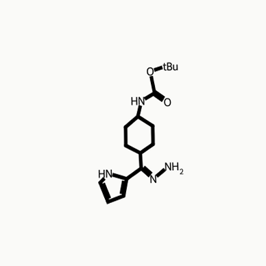 CC(C)(C)OC(=O)NC1CCC(/C(=N\N)c2ccc[nH]2)CC1